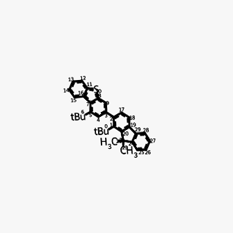 CC(C)(C)c1c(-c2cc(C(C)(C)C)c3c(c2)sc2ccccc23)ccc2c1C(C)(C)c1ccccc1-2